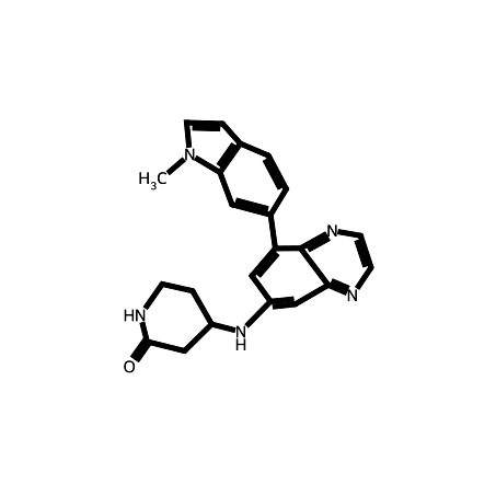 Cn1ccc2ccc(-c3cc(NC4CCNC(=O)C4)cc4nccnc34)cc21